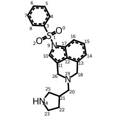 O=S(=O)(c1ccccc1)n1cc2c3c(cccc31)CN(CC1CCNC1)C2